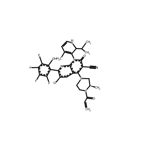 C=CC(=O)N1CCN(c2c(C#N)c(=O)n(C3=C(C)C=CNC3C(C)C)c3nc(-c4c(O)c(F)c(F)c(F)c4F)c(Cl)cc23)C[C@H]1C